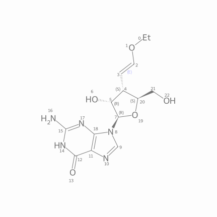 CCO/C=C/[C@H]1[C@@H](O)[C@H](n2cnc3c(=O)[nH]c(N)nc32)O[C@@H]1CO